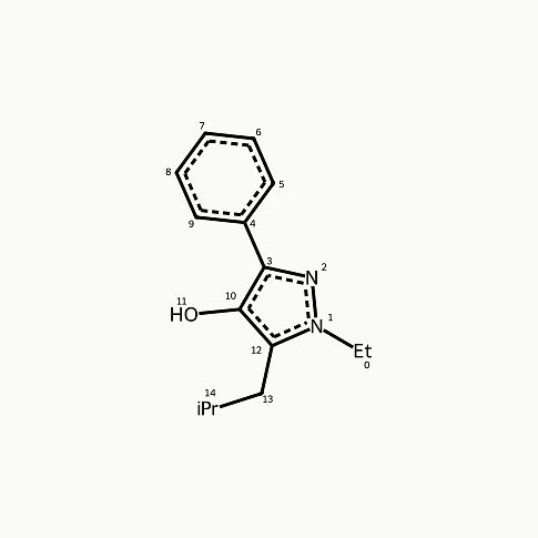 CCn1nc(-c2ccccc2)c(O)c1CC(C)C